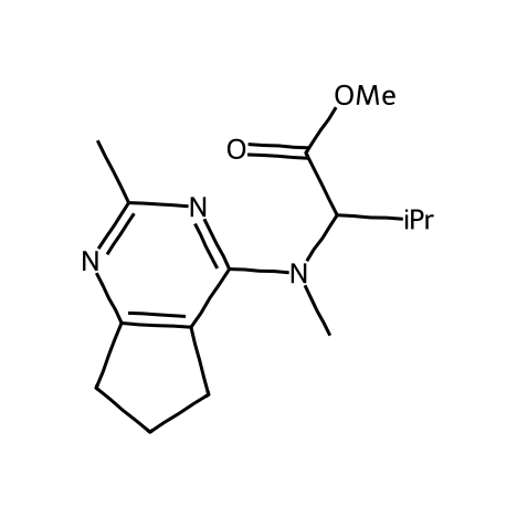 COC(=O)C(C(C)C)N(C)c1nc(C)nc2c1CCC2